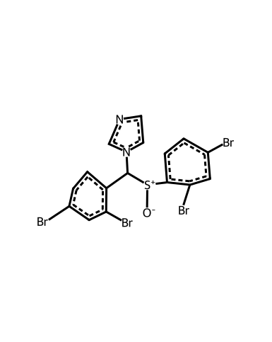 [O-][S+](c1ccc(Br)cc1Br)C(c1ccc(Br)cc1Br)n1ccnc1